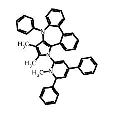 Cc1c2c(n(C3=CC(c4ccccc4)=CC(c4ccccc4)N3C)c1C)-c1ccccc1-c1ccccc1N2c1ccccc1